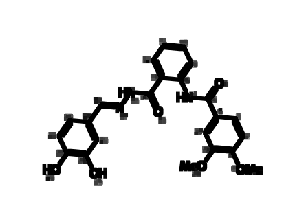 COc1ccc(C(=O)Nc2ccccc2C(=O)NN=Cc2ccc(O)c(O)c2)cc1OC